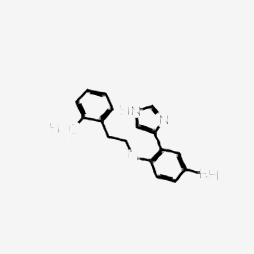 Bc1ccc(OCCc2ccccc2C)c(-c2c[nH]cn2)c1